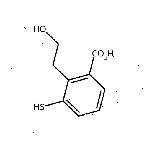 O=C(O)c1cccc(S)c1CCO